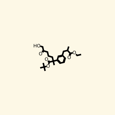 CCOC(=O)C(C)Cc1cccc(C(C)(CCCC(=O)CO)C(=O)OC(C)(C)C)c1